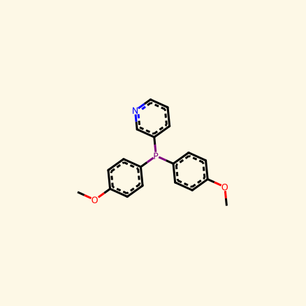 COc1ccc(P(c2ccc(OC)cc2)c2cccnc2)cc1